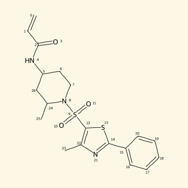 C=CC(=O)NC1CCN(S(=O)(=O)c2sc(-c3ccccc3)nc2C)C(C)C1